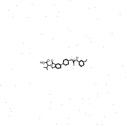 CC(C)C(C(=O)O)N1Cc2ccc(-c3ccc(NC(=S)Nc4cccc(F)c4)cc3)cc2C1=O